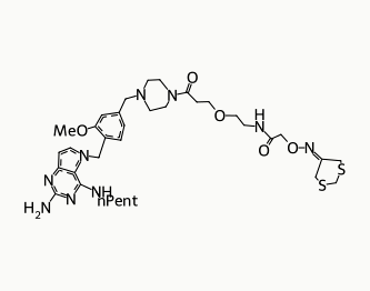 CCCCCNc1nc(N)nc2ccn(Cc3ccc(CN4CCN(C(=O)CCOCCNC(=O)CON=C5CSCSC5)CC4)cc3OC)c12